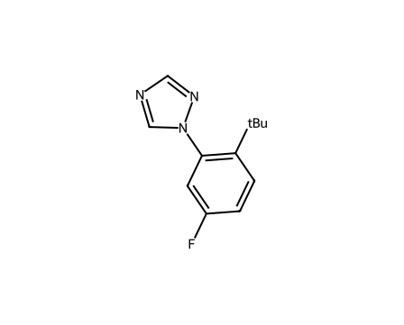 CC(C)(C)c1ccc(F)cc1-n1cncn1